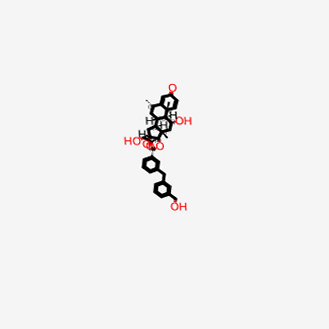 C[C@H]1C[C@@H]2[C@H]([C@@H](O)C[C@@]3(C)[C@H]2C[C@H]2O[C@@H](c4cccc(Cc5cccc(CO)c5)c4)O[C@]23C(=O)CO)[C@@]2(C)C=CC(=O)C=C12